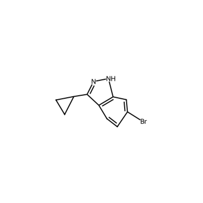 Brc1ccc2c(C3CC3)n[nH]c2c1